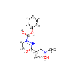 CCCCC[C@H](CN(O)C=O)C(=O)NN(CC(C)C)C(=O)Oc1ccccc1